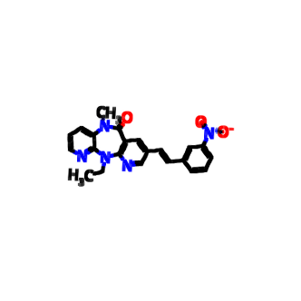 CCN1c2ncc(/C=C/c3cccc([N+](=O)[O-])c3)cc2C(=O)N(C)c2cccnc21